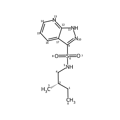 CC[C@H](C)CNS(=O)(=O)c1n[nH]c2ncccc12